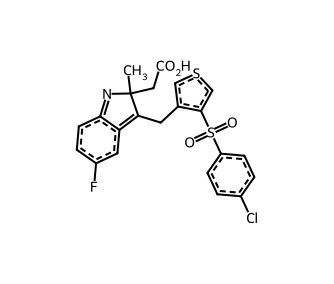 CC1(CC(=O)O)N=c2ccc(F)cc2=C1Cc1cscc1S(=O)(=O)c1ccc(Cl)cc1